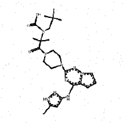 Cc1cc(Nc2nc(N3CCN(C(=O)C(C)(C)N(CC(C)(C)C)C(=O)O)CC3)nn3cccc23)n[nH]1